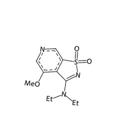 CCN(CC)C1=NS(=O)(=O)c2cncc(OC)c21